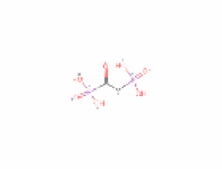 O=C(CP(=O)(O)O)P(=O)(O)O